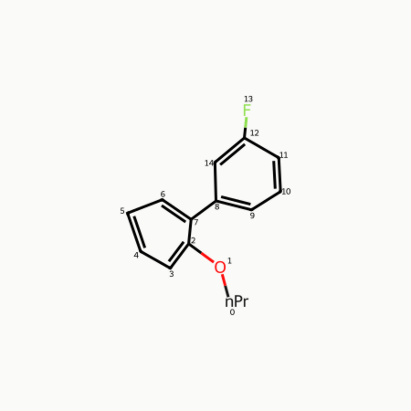 CCCOc1ccccc1-c1cccc(F)c1